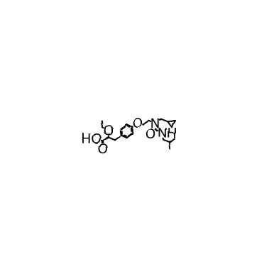 CCOC(Cc1ccc(OCCN(CC2CC2)C(=O)NCC(C)C)cc1)C(=O)O